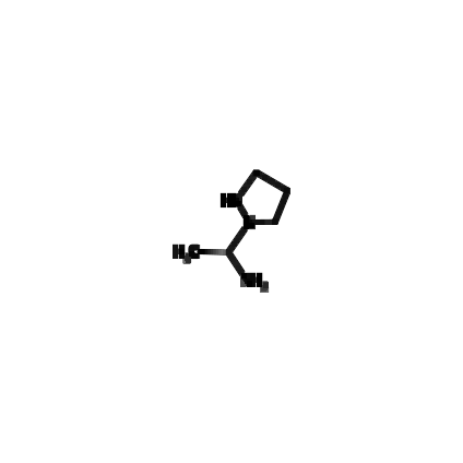 CC(N)N1CCCN1